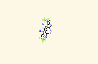 N#CC(C#N)=C1C(c2ccc(C(F)(F)F)c(OC(F)(F)F)c2)=C(C#N)c2c(F)c3c(c(F)c21)C(=C(C#N)C#N)C(c1ccc(C(F)(F)F)c(OC(F)(F)F)c1)=C3C#N